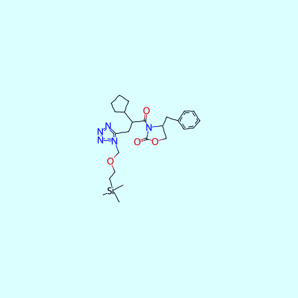 C[Si](C)(C)CCOCn1nnnc1CC(C(=O)N1C(=O)OCC1Cc1ccccc1)C1CCCC1